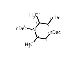 CCCCCCCCCCCC(C)N(CCCCCCCCCC)C(C)CCCCCCCCCCC